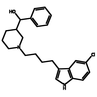 OC(c1ccccc1)C1CCCN(CCCCc2c[nH]c3ccc(Cl)cc23)C1